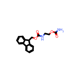 NC(=O)OCCNC(=O)OCC1c2ccccc2-c2ccccc21